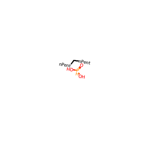 CCCCCCCCCCC.O=[PH](O)O